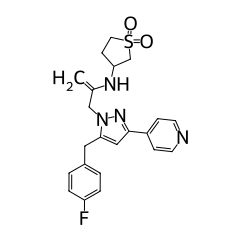 C=C(Cn1nc(-c2ccncc2)cc1Cc1ccc(F)cc1)NC1CCS(=O)(=O)C1